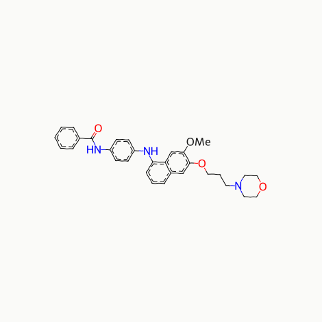 COc1cc2c(Nc3ccc(NC(=O)c4ccccc4)cc3)cccc2cc1OCCCN1CCOCC1